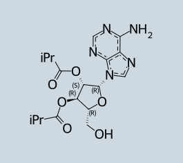 CC(C)C(=O)O[C@H]1[C@H](OC(=O)C(C)C)[C@@H](CO)O[C@H]1n1cnc2c(N)ncnc21